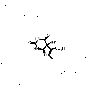 CC=C(C(=O)O)C1(C(C)C)C(=O)NC(=O)NC1=O